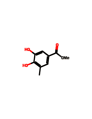 COC(=O)c1cc(C)c(O)c(O)c1